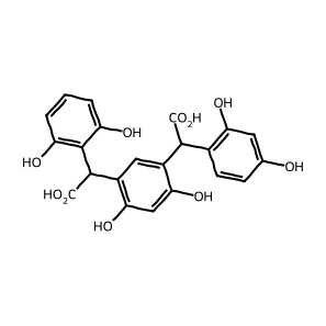 O=C(O)C(c1ccc(O)cc1O)c1cc(C(C(=O)O)c2c(O)cccc2O)c(O)cc1O